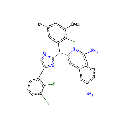 CCc1cc(OC)c(F)c(C(c2cc3cc(N)ccc3c(N)n2)c2nc(-c3cccc(F)c3F)c[nH]2)c1